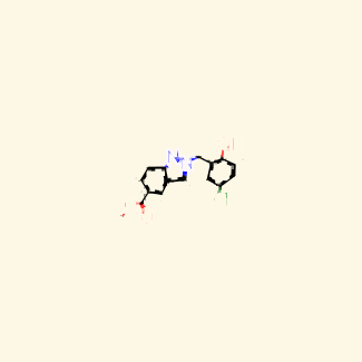 COC(=O)c1ccc2nn(Cc3cc(Cl)ccc3O)cc2c1